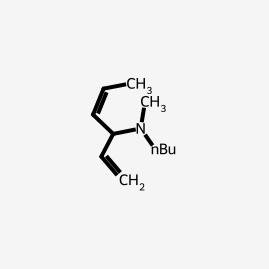 C=CC(/C=C\C)N(C)CCCC